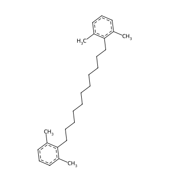 Cc1cccc(C)c1CCCCCCCCCCCc1c(C)cccc1C